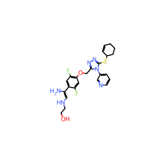 N/C(=C\NCCO)c1cc(F)c(OCc2nnc(SC3C=CCCC3)n2-c2cccnc2)cc1F